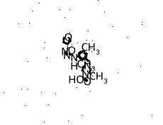 Cc1cc(CN2CCN(C(=O)O)[C@@H](C)C2)c(C)c(Nc2nnc([C@@H]3CCOC3)o2)c1